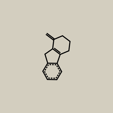 C=C1CCCC2=C1Cc1ccccc12